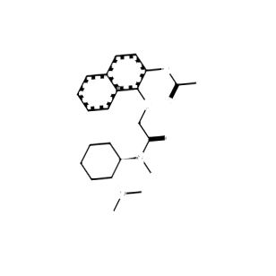 CC(=O)Oc1ccc2ccccc2c1OCC(=O)N(C)[C@@H]1CCCC[C@H]1N(C)C